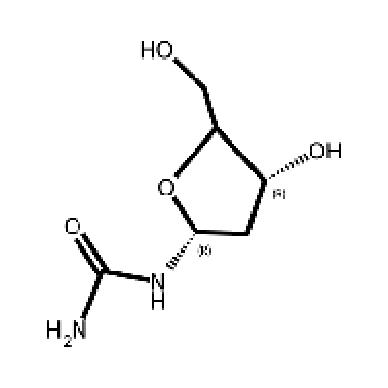 NC(=O)N[C@H]1C[C@@H](O)C(CO)O1